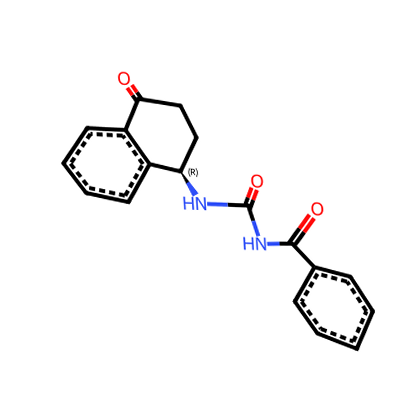 O=C(NC(=O)c1ccccc1)N[C@@H]1CCC(=O)c2ccccc21